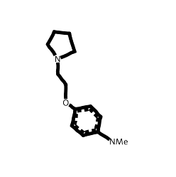 CNc1ccc(OCCN2CCCC2)cc1